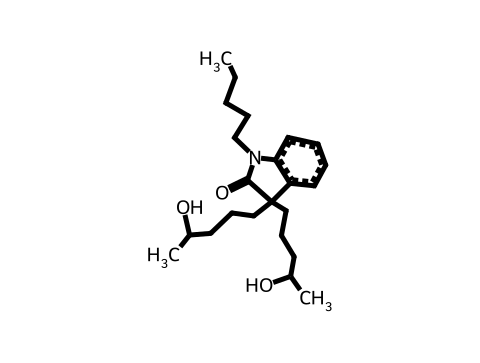 CCCCCN1C(=O)C(CCCC(C)O)(CCCC(C)O)c2ccccc21